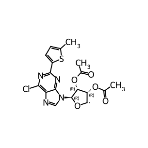 CC(=O)O[C@H]1[C@H](n2cnc3c(Cl)nc(-c4ccc(C)s4)nc32)O[CH][C@H]1OC(C)=O